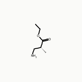 CCOC(=O)[C@H](C)CN